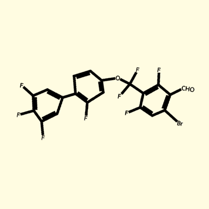 O=Cc1c(Br)cc(F)c(C(F)(F)Oc2ccc(-c3cc(F)c(F)c(F)c3)c(F)c2)c1F